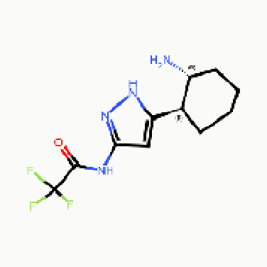 N[C@@H]1CCCC[C@H]1c1cc(NC(=O)C(F)(F)F)n[nH]1